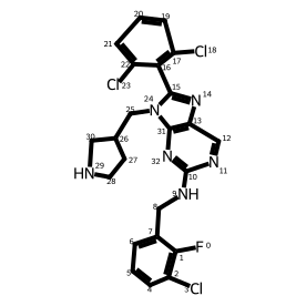 Fc1c(Cl)cccc1CNc1ncc2nc(-c3c(Cl)cccc3Cl)n(CC3CCNC3)c2n1